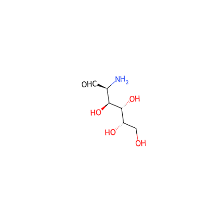 N[C@H](C=O)[C@H](O)[C@H](O)[C@@H](O)CO